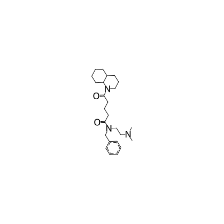 CN(C)CCN(Cc1ccccc1)C(=O)CCCC(=O)N1CCCC2CCCCC21